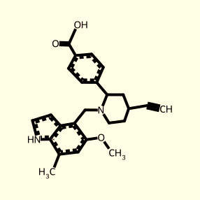 C#CC1CCN(Cc2c(OC)cc(C)c3[nH]ccc23)C(c2ccc(C(=O)O)cc2)C1